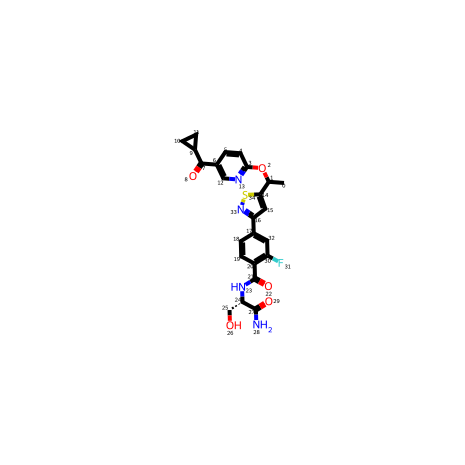 CC(Oc1ccc(C(=O)C2CC2)cn1)c1cc(-c2ccc(C(=O)N[C@@H](CO)C(N)=O)c(F)c2)ns1